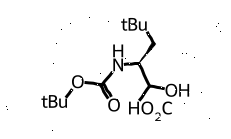 CC(C)(C)C[C@H](NC(=O)OC(C)(C)C)C(O)C(=O)O